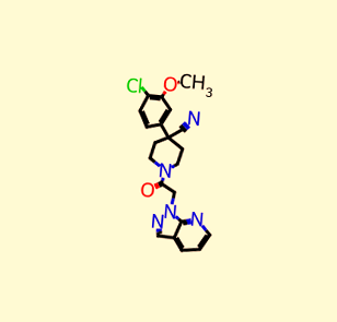 COc1cc(C2(C#N)CCN(C(=O)Cn3ncc4cccnc43)CC2)ccc1Cl